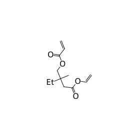 C=COC(=O)CC(C)(CC)COC(=O)C=C